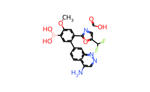 COc1cc(-c2ncc(C(F)F)o2)c(-c2ccc3c(N)cnnc3c2)cc1B(O)O.O=CO